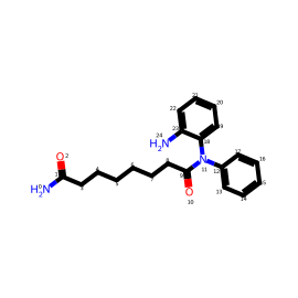 NC(=O)CCCCCCC(=O)N(c1ccccc1)c1ccccc1N